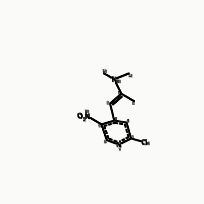 C/C(=C\c1cc(Cl)ncc1[N+](=O)[O-])N(C)C